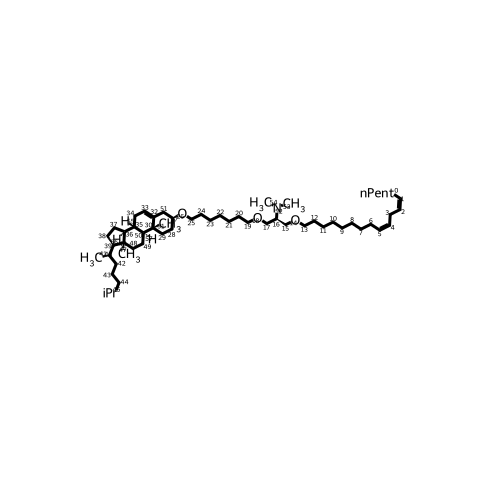 CCCCC/C=C\C/C=C\CCCCCCCCOC[C@@H](COCCCCCCCO[C@H]1CC[C@@]2(C)C(=CC[C@H]3[C@@H]4CC[C@H]([C@H](C)CCCC(C)C)[C@@]4(C)CC[C@@H]32)C1)N(C)C